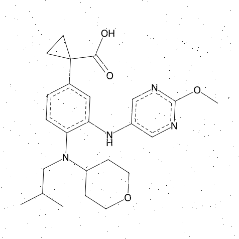 COc1ncc(Nc2cc(C3(C(=O)O)CC3)ccc2N(CC(C)C)C2CCOCC2)cn1